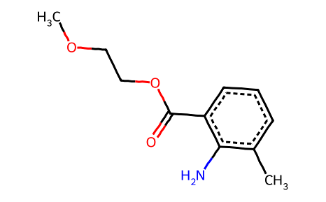 COCCOC(=O)c1cccc(C)c1N